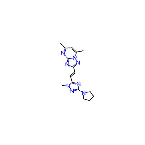 Cc1cc(C)n2nc(/C=C/c3nc(N4CCCC4)nn3C)nc2n1